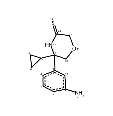 Nc1cccc(C2(C3CC3)COCC(=S)N2)c1